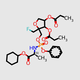 CCC(=O)OC1COC(CF)(COP(=O)(N[C@@H](C)C(=O)OC2CCCCC2)Oc2ccccc2)C1OC(=O)CC